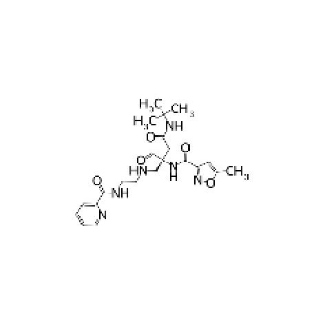 Cc1cc(C(=O)N[C@@](C=O)(CNCCNC(=O)c2ccccn2)CC(=O)NC(C)(C)C)no1